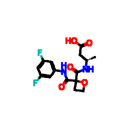 C[C@@H](CC(=O)O)NC(=O)C1(C(=O)Nc2cc(F)cc(F)c2)CCO1